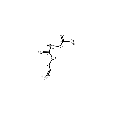 C=CCOC(=O)NOC(=O)CC